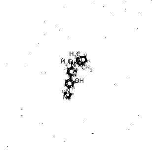 CN(c1ccc(-c2ccc(-n3ccnc3)cc2O)nn1)[C@H]1C[C@]2(C)CC[C@](C)(C1)N2C